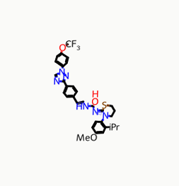 COc1ccc(N2CCCS/C2=N\C(O)N/C=C/c2ccc(-c3ncn(-c4ccc(OC(F)(F)F)cc4)n3)cc2)c(C(C)C)c1